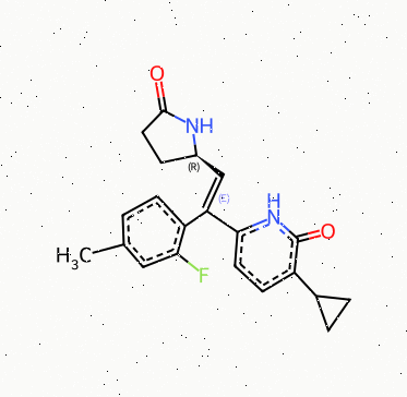 Cc1ccc(/C(=C\[C@H]2CCC(=O)N2)c2ccc(C3CC3)c(=O)[nH]2)c(F)c1